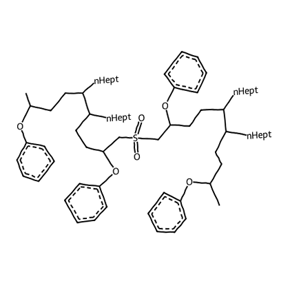 CCCCCCCC(CCC(C)Oc1ccccc1)C(CCCCCCC)CCC(CS(=O)(=O)CC(CCC(CCCCCCC)C(CCCCCCC)CCC(C)Oc1ccccc1)Oc1ccccc1)Oc1ccccc1